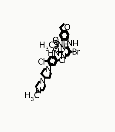 CN1CCN(C2CCN(c3cc(Cl)c(Nc4ncc(Br)c(Nc5cc6c(cc5NS(C)(=O)=O)CCO6)n4)cc3Cl)CC2)CC1